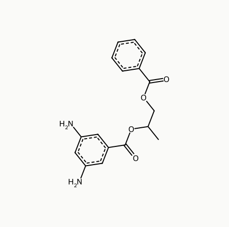 CC(COC(=O)c1ccccc1)OC(=O)c1cc(N)cc(N)c1